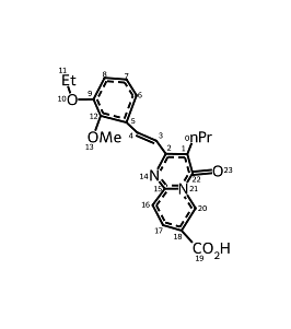 CCCc1c(/C=C/c2cccc(OCC)c2OC)nc2ccc(C(=O)O)cn2c1=O